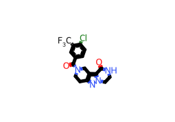 O=C1NCCn2nc3c(c21)CN(C(=O)c1ccc(Cl)c(C(F)(F)F)c1)CC3